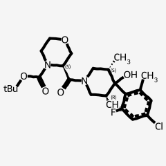 Cc1cc(Cl)cc(F)c1C1(O)[C@H](C)CN(C(=O)[C@@H]2COCCN2C(=O)OC(C)(C)C)C[C@@H]1C